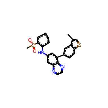 Cc1csc2ccc(-c3cc(Nc4ccccc4S(C)(=O)=O)cc4nccnc34)cc12